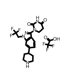 O=C(O)C(F)(F)F.O=C1CCN(c2nn(CC(F)(F)F)c3cc(C4CCNCC4)ccc23)C(=O)N1